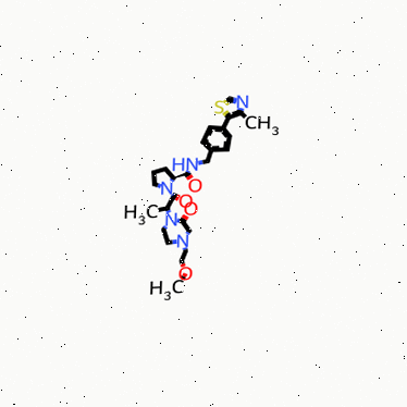 COCCN1CCN(C(C)C(=O)N2CCC[C@H]2C(=O)NCc2ccc(-c3scnc3C)cc2)C(=O)C1